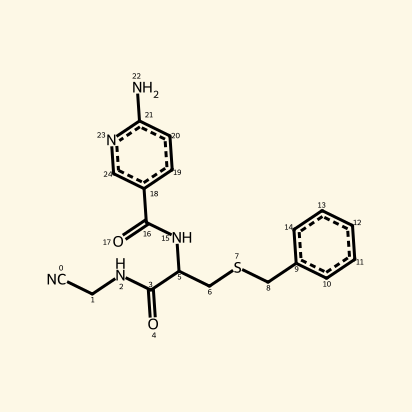 N#CCNC(=O)C(CSCc1ccccc1)NC(=O)c1ccc(N)nc1